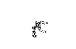 COc1ccc(-c2cc(OCC(=O)O)c(C)cc2OCc2nc(-c3ccc(-c4ccccc4)cc3)cs2)cc1